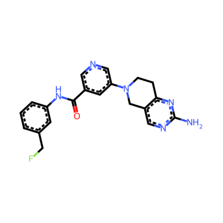 Nc1ncc2c(n1)CCN(c1cncc(C(=O)Nc3cccc(CF)c3)c1)C2